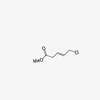 COC(=O)CC=CCCl